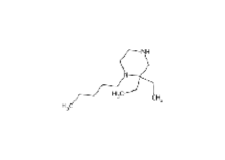 CCCCCN1CCNCC1(CC)CC